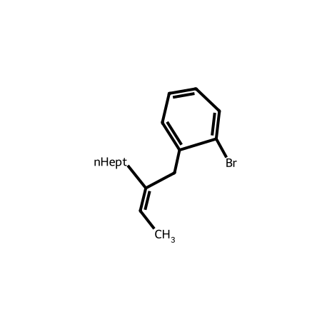 C/C=C(/CCCCCCC)Cc1ccccc1Br